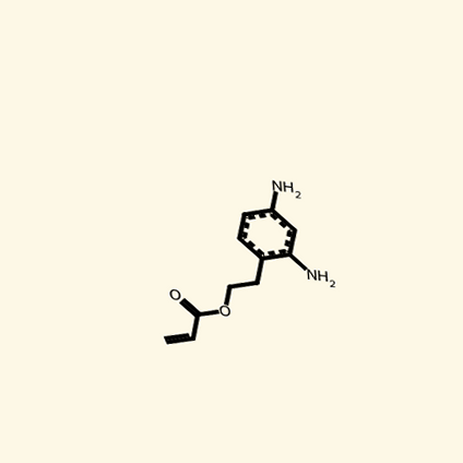 C=CC(=O)OCCc1ccc(N)cc1N